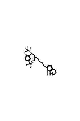 O=C(O)C[C@H](CC(=O)CCCCc1ccc2c(n1)NCCC2)c1cccc(C(F)(F)F)c1